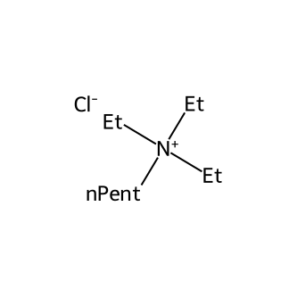 CCCCC[N+](CC)(CC)CC.[Cl-]